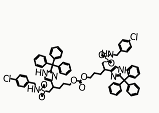 O=C(OCCCC(CS(=O)(=O)NCc1ccc(Cl)cc1)c1c[nH]c(C(c2ccccc2)(c2ccccc2)c2ccccc2)n1)OCCCC(CS(=O)(=O)NCc1ccc(Cl)cc1)c1c[nH]c(C(c2ccccc2)(c2ccccc2)c2ccccc2)n1